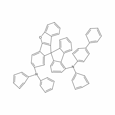 c1ccc(-c2ccc(N(c3ccccc3)c3cccc4c3-c3ccccc3C43c4cc(N(c5ccccc5)c5ccccc5)ccc4-c4oc5ccccc5c43)cc2)cc1